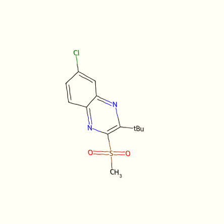 CC(C)(C)c1nc2cc(Cl)ccc2nc1S(C)(=O)=O